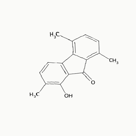 Cc1ccc2c(c1O)C(=O)c1c(C)ccc(C)c1-2